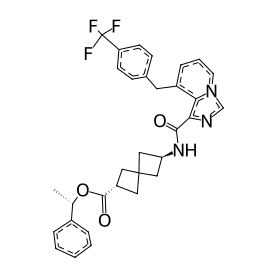 C[C@H](OC(=O)[C@H]1CC2(C[C@H](NC(=O)c3ncn4cccc(Cc5ccc(C(F)(F)F)cc5)c34)C2)C1)c1ccccc1